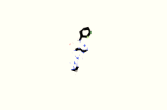 C[C@@H](c1cccc(Cl)c1F)n1ncc2nc(-n3cc(C(=O)O)cn3)nc(O)c21